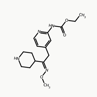 CCOC(=O)Nc1cc(C/C(=N/OC)C2CCNCC2)ccn1